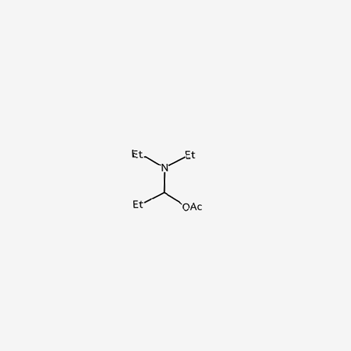 CCC(OC(C)=O)N(CC)CC